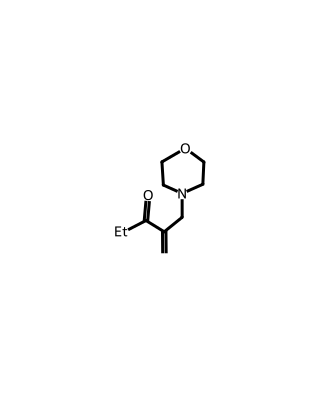 C=C(CN1CCOCC1)C(=O)CC